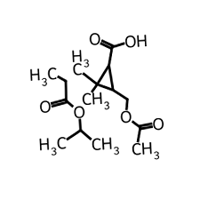 CC(=O)OCC1C(C(=O)O)C1(C)C.CCC(=O)OC(C)C